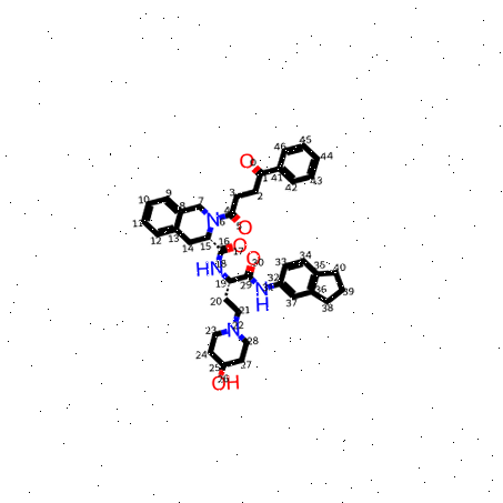 O=C(CCC(=O)N1Cc2ccccc2C[C@H]1C(=O)N[C@@H](CCN1CCC(O)CC1)C(=O)Nc1ccc2c(c1)CCC2)c1ccccc1